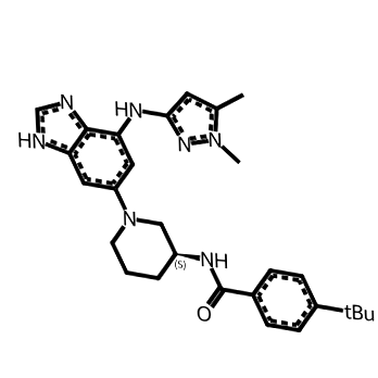 Cc1cc(Nc2cc(N3CCC[C@H](NC(=O)c4ccc(C(C)(C)C)cc4)C3)cc3[nH]cnc23)nn1C